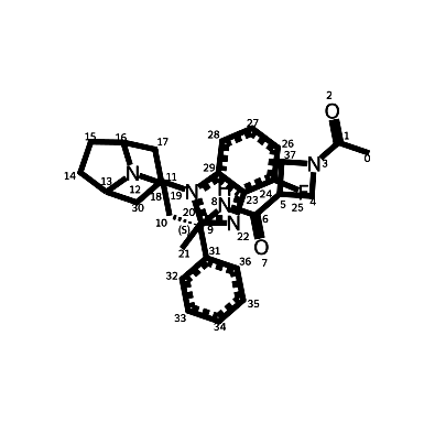 CC(=O)N1CC(C(=O)N[C@@H](CCN2C3CCC2CC(n2c(C)nc4c(F)cccc42)C3)c2ccccc2)C1